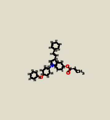 C=CC(=O)Oc1ccc2c(c1)c(C=Cc1ccccc1)cn2-c1ccc(Oc2ccccc2)cc1